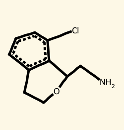 NCC1OCCc2cccc(Cl)c21